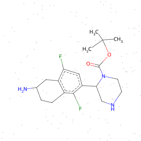 CC(C)(C)OC(=O)N1CCNCC1c1cc(F)c2c(c1F)CCC(N)C2